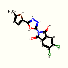 Cc1ccc(-c2nnc(N3C(=O)c4cc(Cl)c(Cl)cc4C3=O)o2)s1